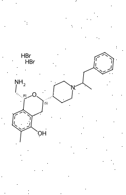 Br.Br.Cc1ccc2c(c1O)C[C@@H](C1CCN(C(C)Cc3ccccc3)CC1)O[C@H]2CN